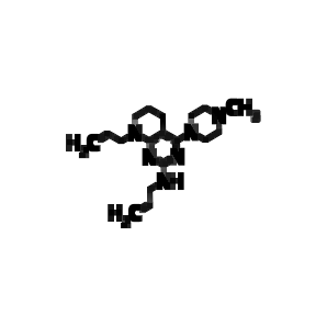 C=CCNc1nc2c(c(N3CCN(C)CC3)n1)CCCN2CC=C